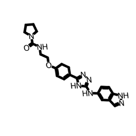 O=C(NCCOC1=CC=C(c2nnc(Nc3ccc4[nH]ncc4c3)[nH]2)CC1)N1CCCC1